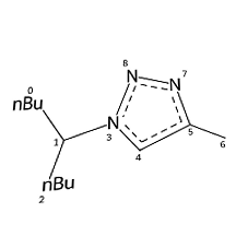 CCCCC(CCCC)n1cc(C)nn1